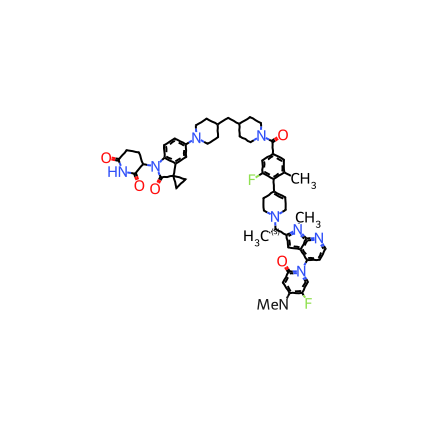 CNc1cc(=O)n(-c2ccnc3c2cc([C@H](C)N2CC=C(c4c(C)cc(C(=O)N5CCC(CC6CCN(c7ccc8c(c7)C7(CC7)C(=O)N8C7CCC(=O)NC7=O)CC6)CC5)cc4F)CC2)n3C)cc1F